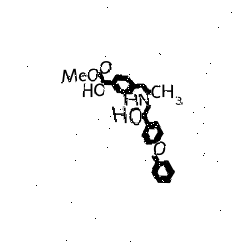 COC(=O)C(O)c1ccc(CC(C)NCC(O)c2ccc(OCc3ccccc3)cc2)cc1